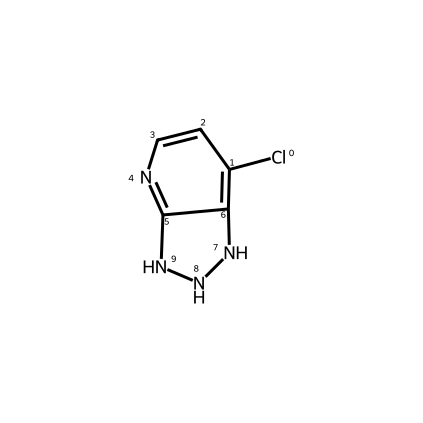 Clc1ccnc2c1NNN2